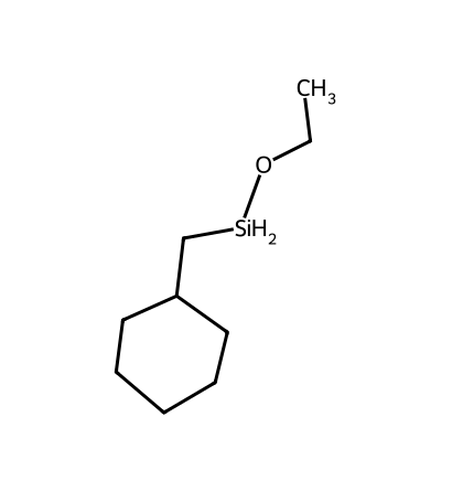 CCO[SiH2]CC1CCCCC1